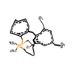 CC(C)c1cc(C(C)C)c(-c2ccccc2P2(C(C)(C)C)(C(C)(C)C)CCCC2)c(C(C)C)c1